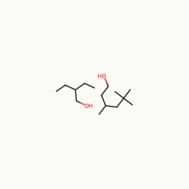 CC(CCO)CC(C)(C)C.CCC(CC)CO